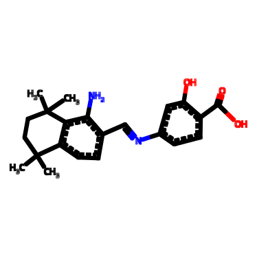 CC1(C)CCC(C)(C)c2c1ccc(C=Nc1ccc(C(=O)O)c(O)c1)c2N